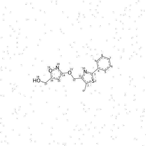 Cc1sc(-c2ccccc2)nc1COc1cc(CO)on1